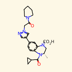 C[C@H]1CN(C(=O)O)c2cc(-c3cnn(CC(=O)N4CCCCC4)c3)ccc2N1C(=O)C1CC1